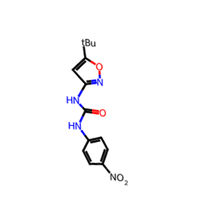 CC(C)(C)c1cc(NC(=O)Nc2ccc([N+](=O)[O-])cc2)no1